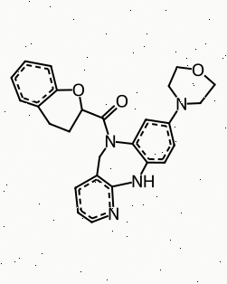 O=C(C1CCc2ccccc2O1)N1Cc2cccnc2Nc2ccc(N3CCOCC3)cc21